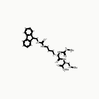 COC(=O)[C@H](COC(C)(C)C)NC(=O)[C@H](CCCCNC(=O)OCC1c2ccccc2-c2ccccc21)NC(=O)OC(C)(C)C